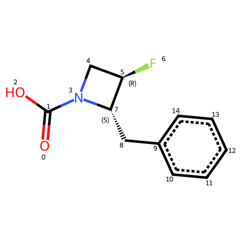 O=C(O)N1C[C@@H](F)[C@@H]1Cc1ccccc1